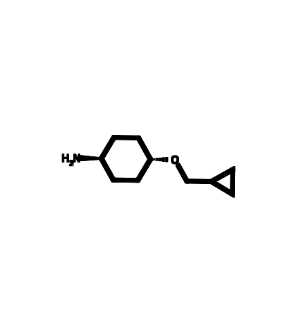 N[C@H]1CC[C@H](OCC2CC2)CC1